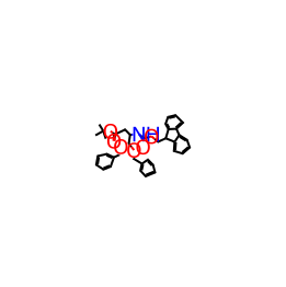 CC(C)(C)OC(=O)CC(NC(=O)OCC1c2ccccc2-c2ccccc21)C(OCc1ccccc1)OCc1ccccc1